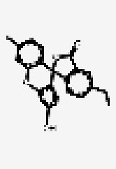 CCc1ccc2c(c1)C(=O)OC21c2ccc(C)cc2Oc2cc(O)ccc21